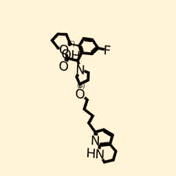 O=C(O)C(c1cc(F)ccc1[C@@H]1CCCCO1)N1CC[C@H](OCCCCc2ccc3c(n2)NCCC3)C1